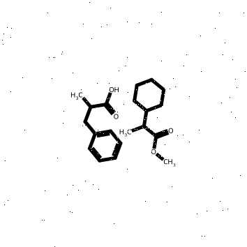 CC(Cc1ccccc1)C(=O)O.COC(=O)C(C)C1CCCCC1